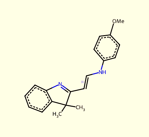 COc1ccc(N/C=C/C2=Nc3ccccc3C2(C)C)cc1